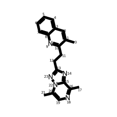 Cc1cc2ccccc2nc1CCc1nc2c(C)ncc(C)n2n1